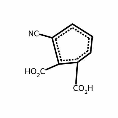 N#Cc1cccc(C(=O)O)c1C(=O)O